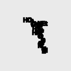 CCc1cc(NC(=O)Nc2ccc(Oc3ccnc(-c4cnn(C)c4)c3)cc2F)n(-c2cccc(CO)c2)n1